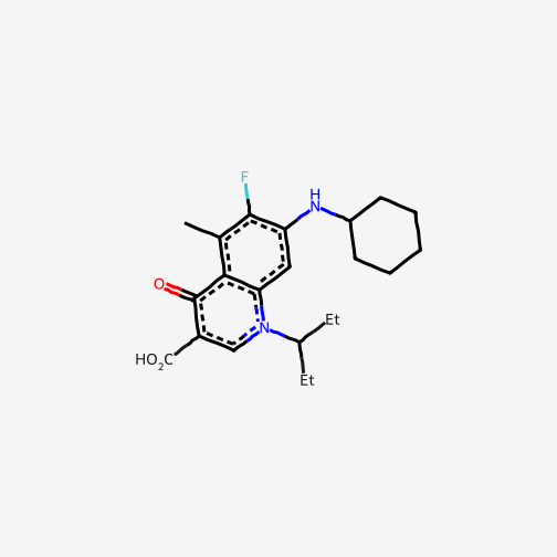 CCC(CC)n1cc(C(=O)O)c(=O)c2c(C)c(F)c(NC3CCCCC3)cc21